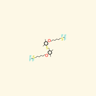 Cc1cc(C)c(OCCCCCCSC(F)(F)F)cc1CSc1cc(OCCCCCCSC(F)(F)F)c(C)cc1C